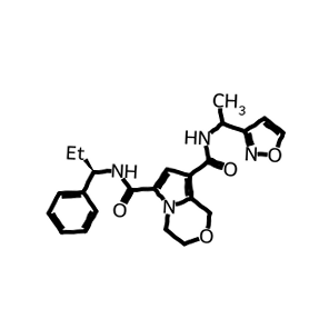 CC[C@@H](NC(=O)c1cc(C(=O)NC(C)c2ccon2)c2n1CCOC2)c1ccccc1